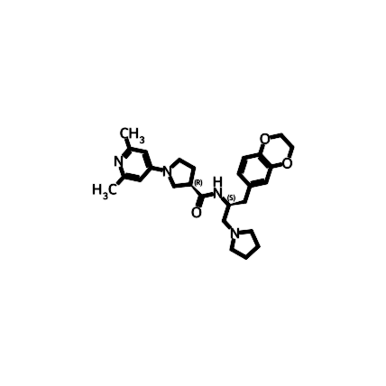 Cc1cc(N2CC[C@@H](C(=O)N[C@@H](Cc3ccc4c(c3)OCCO4)CN3CCCC3)C2)cc(C)n1